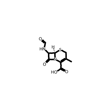 CC1=C(C(=O)O)N2C(=O)C(NC=O)[C@H]2SC1